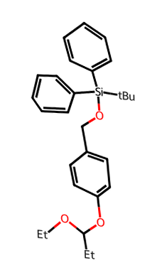 CCOC(CC)Oc1ccc(CO[Si](c2ccccc2)(c2ccccc2)C(C)(C)C)cc1